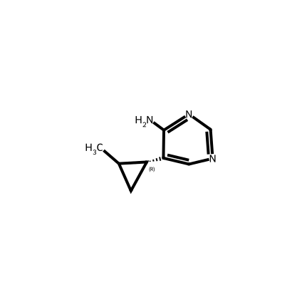 CC1C[C@H]1c1cncnc1N